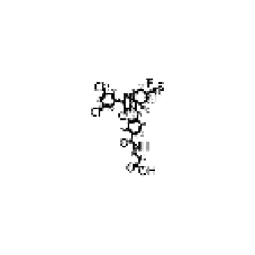 C[C@H](c1ccc(C(=O)NCCC(=O)O)cc1)N1C(=O)C(c2cc(Cl)cc(Cl)c2)=NC12CCC(C(F)(F)F)CC2